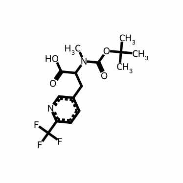 CN(C(=O)OC(C)(C)C)C(Cc1ccc(C(F)(F)F)nc1)C(=O)O